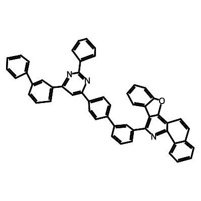 c1ccc(-c2cccc(-c3cc(-c4ccc(-c5cccc(-c6nc7c8ccccc8ccc7c7oc8ccccc8c67)c5)cc4)nc(-c4ccccc4)n3)c2)cc1